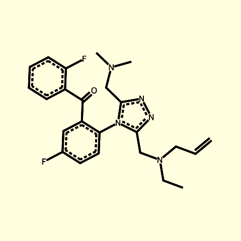 C=CCN(CC)Cc1nnc(CN(C)C)n1-c1ccc(F)cc1C(=O)c1ccccc1F